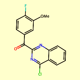 COc1cc(C(=O)c2nc(Cl)c3ccccc3n2)ccc1F